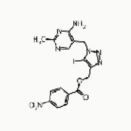 Cc1ncc(Cn2nnc(COC(=O)c3ccc([N+](=O)[O-])cc3)c2I)c(N)n1